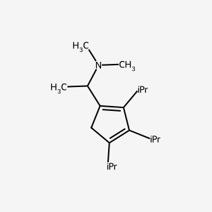 CC(C)C1=C(C(C)C)C(C(C)C)=C(C(C)N(C)C)C1